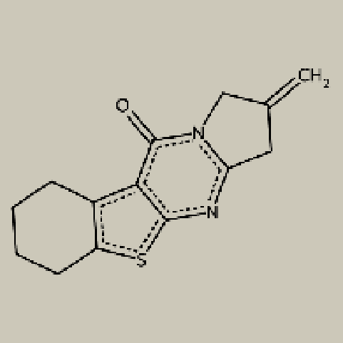 C=C1Cc2nc3sc4c(c3c(=O)n2C1)CCCC4